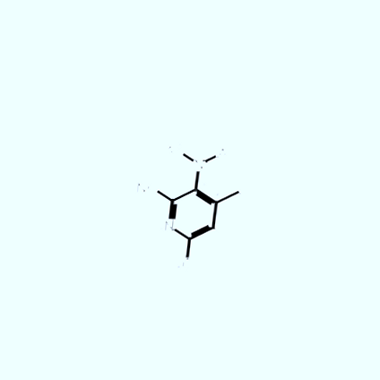 CC(=O)N(C(C)=O)c1c(C)cc(Cl)nc1C#N